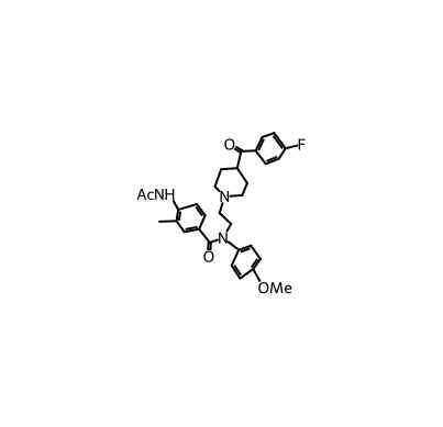 COc1ccc(N(CCN2CCC(C(=O)c3ccc(F)cc3)CC2)C(=O)c2ccc(NC(C)=O)c(C)c2)cc1